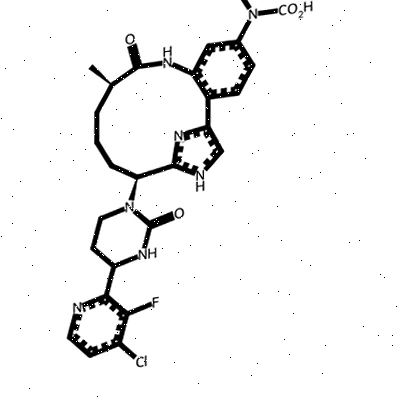 C[C@@H]1CCC[C@H](N2CCC(c3nccc(Cl)c3F)NC2=O)c2nc(c[nH]2)-c2ccc(N(C)C(=O)O)cc2NC1=O